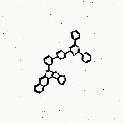 c1ccc(-c2cc(-c3ccc(-c4cccc(-c5nc6cc7ccccc7cc6c6c5sc5ccccc56)c4)cc3)nc(-c3ccccc3)n2)cc1